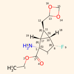 CCOC(=O)[C@]1(N)C[C@@H](F)[C@H]2[C@H](CC3OCO3)[C@H]21